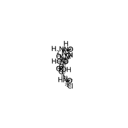 Nc1nc2c(ncn2[C@@H]2O[C@H](COP(=O)(O)OCCCNC(=O)CCl)[C@@H](O)[C@H]2C=O)c(=O)[nH]1